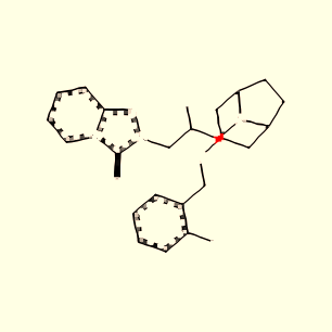 O=c1n(CC(F)CN2C3CCC2CC(OCc2ccccc2F)C3)nc2ccccn12